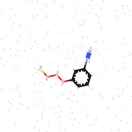 N#[N+]c1cccc(OOOS)c1